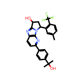 Cc1ccc(C(F)(F)F)c(C2CC(O)c3nc4ccc(-c5ccc(C(C)(C)O)cc5)nc4n32)c1